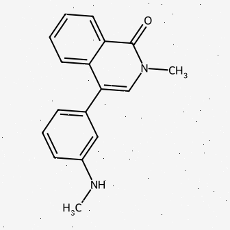 CNc1cccc(-c2cn(C)c(=O)c3ccccc23)c1